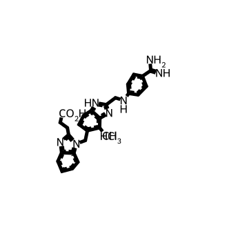 Cc1c(Cn2c(CCC(=O)O)nc3ccccc32)ccc2[nH]c(CNc3ccc(C(=N)N)cc3)nc12.Cl